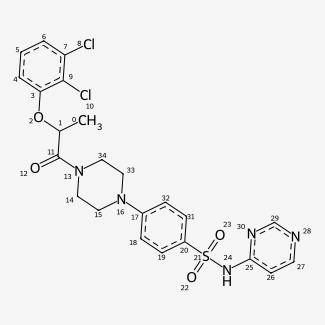 CC(Oc1cccc(Cl)c1Cl)C(=O)N1CCN(c2ccc(S(=O)(=O)Nc3ccncn3)cc2)CC1